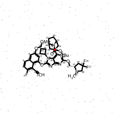 C#Cc1c(F)ccc2cc(OCOC)cc(Oc3nc4nc(OC[C@@H]5CC(F)(F)CN5C)nc(N5CC6CCC(C5)N6C(=O)OC(C)(C)C)c4n3C3CCC3)c12